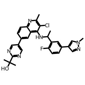 Cc1nc2ccc(-c3cnc(C(C)(C)O)nc3)cc2c(NC(C)c2cc(-c3cnn(C)c3)ccc2F)c1Cl